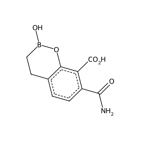 NC(=O)c1ccc2c(c1C(=O)O)OB(O)CC2